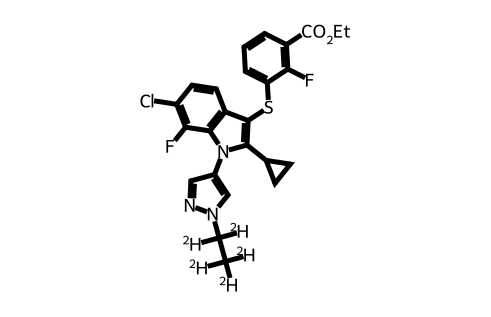 [2H]C([2H])([2H])C([2H])([2H])n1cc(-n2c(C3CC3)c(Sc3cccc(C(=O)OCC)c3F)c3ccc(Cl)c(F)c32)cn1